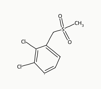 CS(=O)(=O)Cc1cc[c]c(Cl)c1Cl